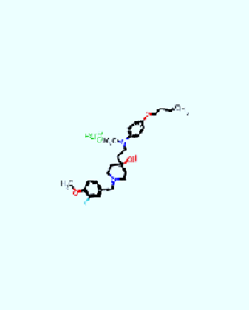 CCCCOc1ccc(N(C)CCC2(O)CCN(Cc3ccc(OC)c(F)c3)CC2)cc1.Cl.Cl